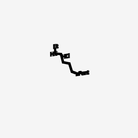 CCCCCCCCCNCC.Cl